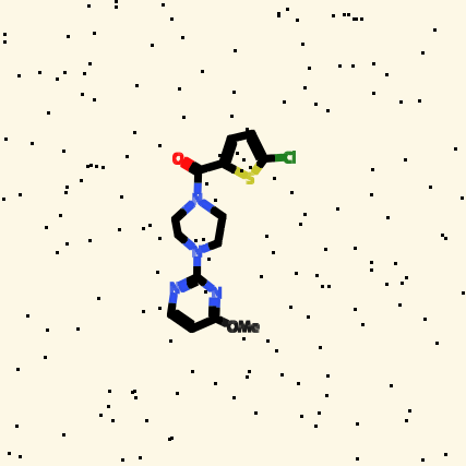 COc1ccnc(N2CCN(C(=O)c3ccc(Cl)s3)CC2)n1